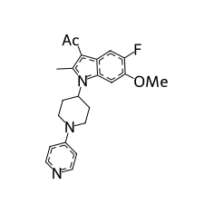 COc1cc2c(cc1F)c(C(C)=O)c(C)n2C1CCN(c2ccncc2)CC1